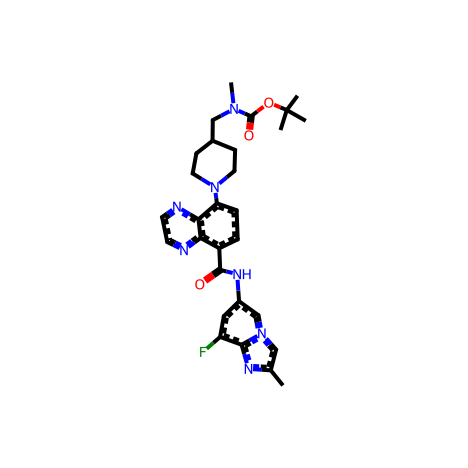 Cc1cn2cc(NC(=O)c3ccc(N4CCC(CN(C)C(=O)OC(C)(C)C)CC4)c4nccnc34)cc(F)c2n1